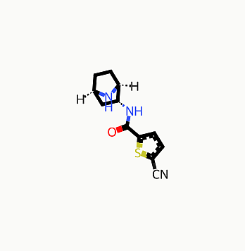 N#Cc1ccc(C(=O)N[C@@H]2C[C@H]3CC[C@@H]2N3)s1